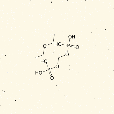 CCOCC.O=P(O)(O)OCOP(=O)(O)O